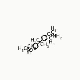 C=P(C)(Oc1ccc(C(C)(C)c2ccc(OC(C)(C)N)cc2)cc1)C(C)C